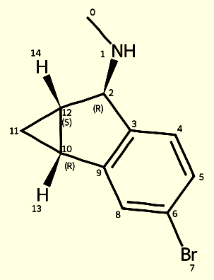 CN[C@H]1c2ccc(Br)cc2[C@@H]2C[C@@H]21